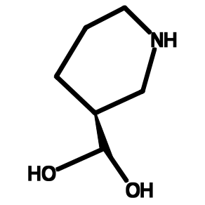 OC(O)[C@H]1CCCNC1